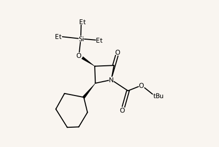 CC[Si](CC)(CC)O[C@H]1C(=O)N(C(=O)OC(C)(C)C)[C@H]1C1CCCCC1